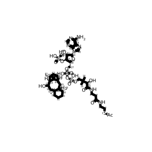 CC(=O)SCCNC(=O)CCNC(=O)[C@H](O)C(C)(C)COP(=O)(O)OP(=O)(O)OC[C@H]1O[C@@H](n2cnc3c(N)ncnc32)[C@H](O)[C@@H]1OP(=O)(O)O.C[C@@H]1CCC[C@@]2(C)CC(O)[C@H]3[C@H](C)CC[C@@H](C[C@H]12)C3(C)C